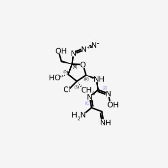 C[C@@]1(Cl)[C@H](NC(=N/O)/N=C(/N)C=N)O[C@@](CO)(N=[N+]=[N-])[C@H]1O